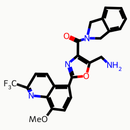 COc1ccc(-c2nc(C(=O)N3Cc4ccccc4C3)c(CN)o2)c2ccc(C(F)(F)F)nc12